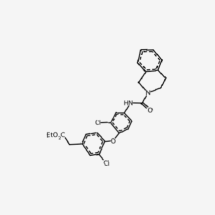 CCOC(=O)Cc1ccc(Oc2ccc(NC(=O)N3CCc4ccccc4C3)cc2Cl)c(Cl)c1